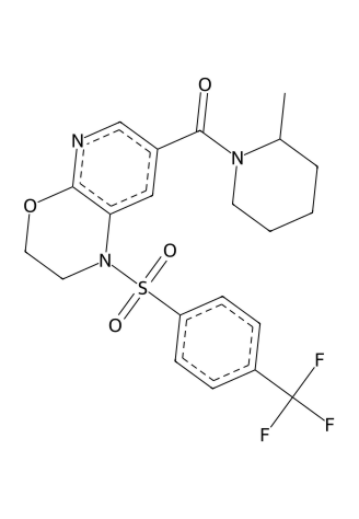 CC1CCCCN1C(=O)c1cnc2c(c1)N(S(=O)(=O)c1ccc(C(F)(F)F)cc1)CCO2